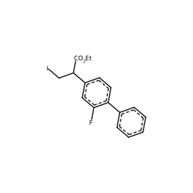 CCOC(=O)C(CI)c1ccc(-c2ccccc2)c(F)c1